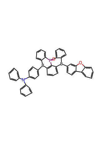 O=P12c3ccccc3B(c3ccc(N(c4ccccc4)c4ccccc4)cc3)c3cccc(c31)B(c1ccc3c(c1)oc1ccccc13)c1ccccc12